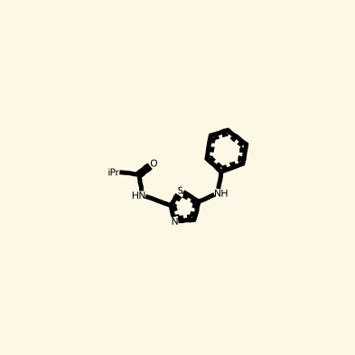 CC(C)C(=O)Nc1ncc(Nc2ccccc2)s1